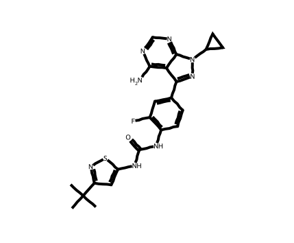 CC(C)(C)c1cc(NC(=O)Nc2ccc(-c3nn(C4CC4)c4ncnc(N)c34)cc2F)sn1